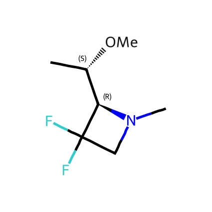 CO[C@@H](C)[C@H]1N(C)CC1(F)F